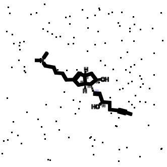 CC#CCC[C@@H](O)/C=C/[C@@H]1[C@H]2CC(CCCCCN(C)C)=C[C@H]2C[C@H]1O